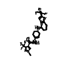 Cn1cc(C(=O)N[C@H]2CC[C@@H](Nc3cccc4nc(C(F)(F)F)cn34)CC2)c(C(F)(F)F)n1